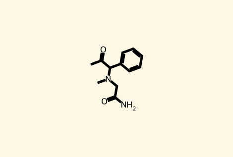 CC(=O)C(c1ccccc1)N(C)CC(N)=O